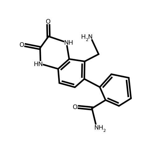 NCc1c(-c2ccccc2C(N)=O)ccc2[nH]c(=O)c(=O)[nH]c12